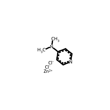 CN(C)c1ccncc1.[Cl-].[Cl-].[Zn+2]